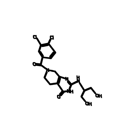 O=C(c1ccc(Cl)c(Cl)c1)N1CCc2c(nc(NC(CO)CO)[nH]c2=O)C1